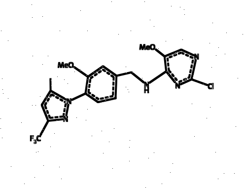 COc1cc(CNc2nc(Cl)ncc2OC)ccc1-n1nc(C(F)(F)F)cc1C